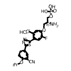 CC(C)Oc1ccc(-c2nnc(-c3cc(F)c(OC[C@@H](N)COP(=O)(O)O)cc3Cl)s2)cc1C#N.Cl